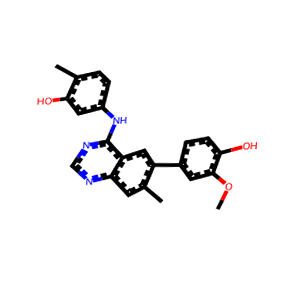 COc1cc(-c2cc3c(Nc4ccc(C)c(O)c4)ncnc3cc2C)ccc1O